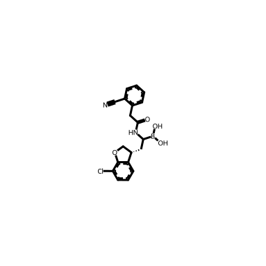 N#Cc1ccccc1CC(=O)NC(C[C@H]1COc2c(Cl)cccc21)B(O)O